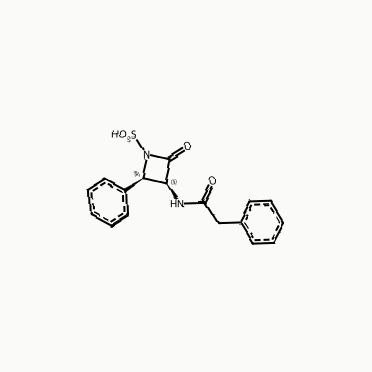 O=C(Cc1ccccc1)N[C@@H]1C(=O)N(S(=O)(=O)O)[C@@H]1c1ccccc1